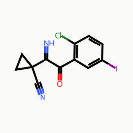 N#CC1(C(=N)C(=O)c2cc(I)ccc2Cl)CC1